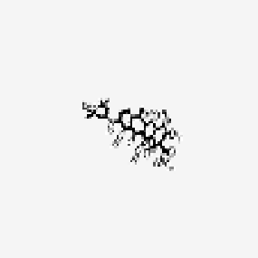 CC1c2ccc(NC3CC(C)(C)NC(C)(C)C3)c(O)c2C(=O)C2=C(O)C3(O)C(=O)C(C(N)=O)=C(O)C(N(C)C)C3C(O)C21